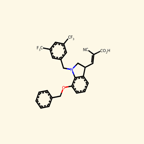 N#C/C(=C\C1CN(Cc2cc(C(F)(F)F)cc(C(F)(F)F)c2)c2c(OCc3ccccc3)cccc21)C(=O)O